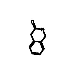 O=C1Cc2ccccc2C[N]1